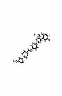 N#Cc1cnc(N2CCC(COc3cnc(N4CC(N)C(c5cc(F)ccc5F)C4)nc3)CC2)s1